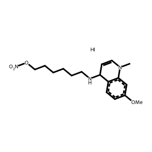 COc1ccc2c(c1)N(C)C=CC2NCCCCCCO[N+](=O)[O-].I